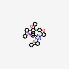 c1ccc(-c2nc(-c3cccc4c3sc3ccccc34)nc(-c3cccc4oc5ccc(-c6ccc(-c7cccc8c9ccccc9n(-c9ccccc9)c78)c7oc8ccccc8c67)cc5c34)n2)cc1